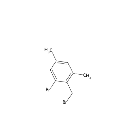 Cc1cc(C)c(CBr)c(Br)c1